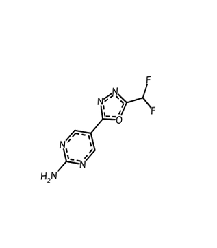 Nc1ncc(-c2nnc(C(F)F)o2)cn1